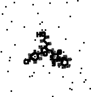 O=C1/C(=C/c2oc(-c3ccc(Cl)cc3)cc2CCCO)SC(=S)N1C1CC2CCC1C2